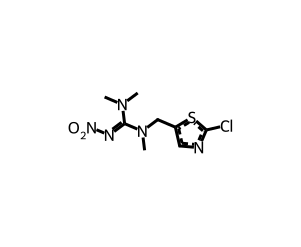 CN(C)C(=N[N+](=O)[O-])N(C)Cc1cnc(Cl)s1